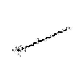 [CH2]COCCOCCOCCOCCC(=O)NCCCCCNC(=O)OC(C)(C)C